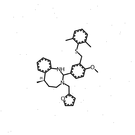 COc1ccc(C2Nc3ccccc3[C@H](C)CCN2Cc2ccco2)cc1CSc1c(C)cccc1C